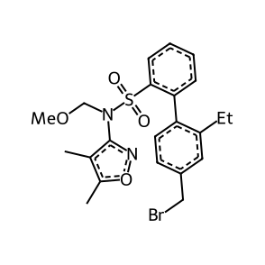 CCc1cc(CBr)ccc1-c1ccccc1S(=O)(=O)N(COC)c1noc(C)c1C